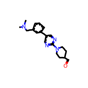 CN(C)Cc1cccc(-c2cnc(N3CCC(C=O)CC3)nc2)c1